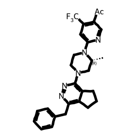 CC(=O)c1cnc(N2CCN(c3nnc(Cc4ccccc4)c4c3CCC4)C[C@H]2C)cc1C(F)(F)F